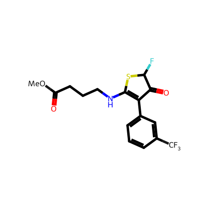 COC(=O)CCCNC1=C(c2cccc(C(F)(F)F)c2)C(=O)C(F)S1